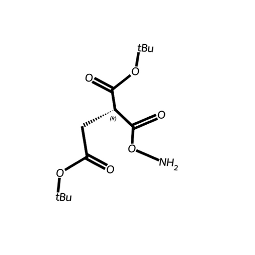 CC(C)(C)OC(=O)C[C@@H](C(=O)ON)C(=O)OC(C)(C)C